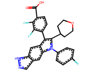 O=C(O)c1ccc(-c2c(C3CCOCC3)n(-c3ccc(F)cc3)c3cc4cn[nH]c4cc23)c(F)c1F